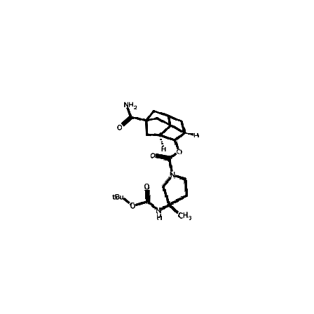 CC1(NC(=O)OC(C)(C)C)CCN(C(=O)OC2[C@@H]3CC4C[C@H]2CC(C(N)=O)(C4)C3)C1